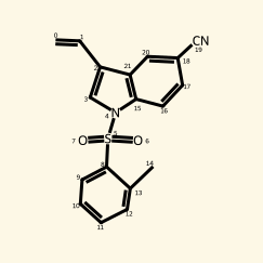 C=Cc1cn(S(=O)(=O)c2ccccc2C)c2ccc(C#N)cc12